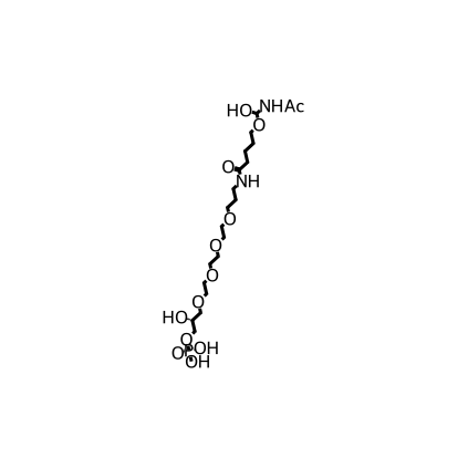 CC(=O)NC(O)OCCCCC(=O)NCCCOCCOCCOCCOC[C@@H](O)COP(=O)(O)O